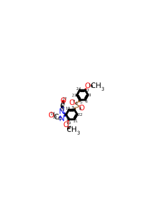 COc1ccc(S(=O)(=O)C2=CC(N=C=O)(N=C=O)C(OC)C=C2)cc1